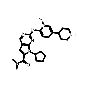 CC(C)N1C=C(C2CCNCC2)CC=C1Nc1ncc2cc(C(=O)N(C)C)n(C3CCCC3)c2n1